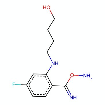 N=C(ON)c1ccc(F)cc1NCCCCO